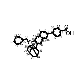 O=C(O)c1ccc(-c2ccc3cc(OCc4ccccc4)c(C45CC6CC(CC(C6)C4)C5)cc3c2)cc1